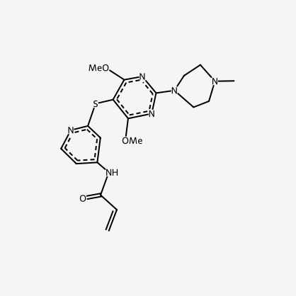 C=CC(=O)Nc1ccnc(Sc2c(OC)nc(N3CCN(C)CC3)nc2OC)c1